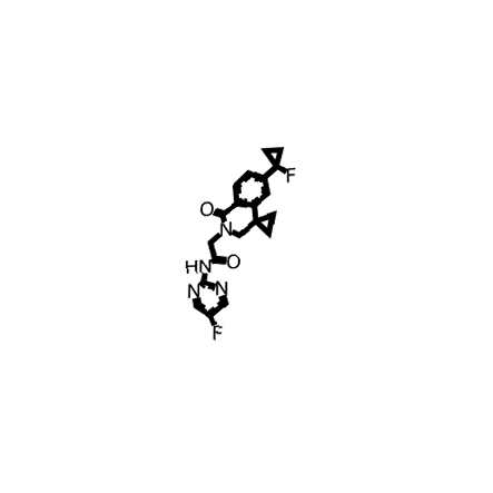 O=C(CN1CC2(CC2)c2cc(C3(F)CC3)ccc2C1=O)Nc1ncc(F)cn1